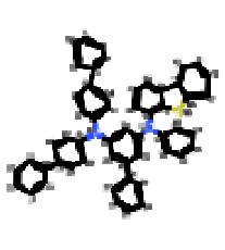 c1ccc(-c2ccc(N(c3ccc(-c4ccccc4)cc3)c3cc(-c4ccccc4)cc(N(c4ccccc4)c4cccc5c4sc4ccccc45)c3)cc2)cc1